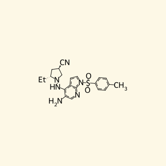 CC[C@@H]1C[C@@H](C#N)CN1Nc1c(N)cnc2c1ccn2S(=O)(=O)c1ccc(C)cc1